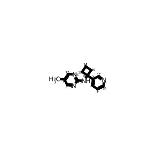 Cc1cnc(NC2(c3cccnc3)CCC2)nc1